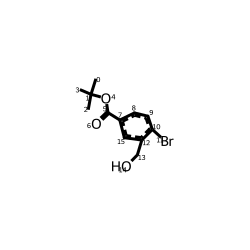 CC(C)(C)OC(=O)c1ccc(Br)c(CO)c1